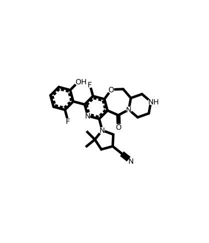 CC1(C)CC(C#N)CN1c1nc(-c2c(O)cccc2F)c(F)c2c1C(=O)N1CCNCC1CO2